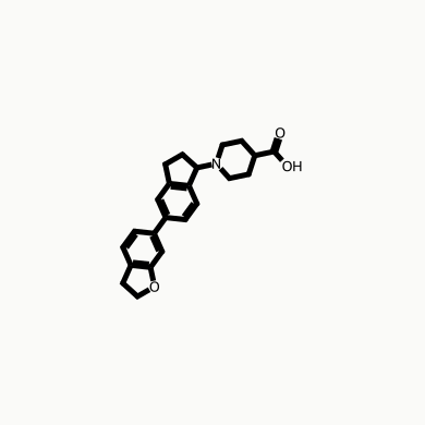 O=C(O)C1CCN(C2CCc3cc(-c4ccc5c(c4)OCC5)ccc32)CC1